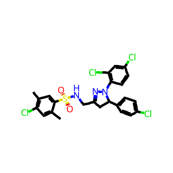 Cc1cc(S(=O)(=O)NCC2=NN(c3ccc(Cl)cc3Cl)C(c3ccc(Cl)cc3)C2)c(C)cc1Cl